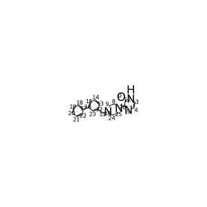 O=c1[nH]ccnc1N1CCN(Cc2cccc(-c3ccccc3)c2)CC1